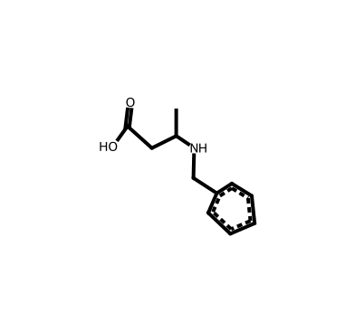 CC(CC(=O)O)NCc1ccccc1